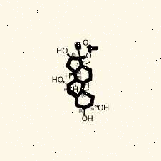 C#C[C@]1(OC(C)=O)[C@H](O)C[C@H]2[C@@H]3[C@@H](O)C=C4C[C@H](O)[C@@H](O)C[C@]4(C)[C@H]3CC[C@@]21C